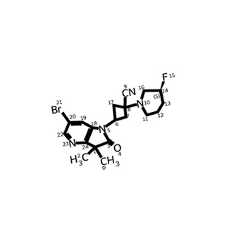 CC1(C)C(=O)N(C2CC(C#N)(N3CCC[C@H](F)C3)C2)c2cc(Br)cnc21